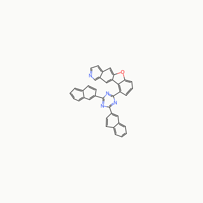 c1ccc2cc(-c3nc(-c4ccc5ccccc5c4)nc(-c4cccc5oc6cc7ccncc7cc6c45)n3)ccc2c1